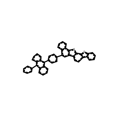 c1ccc(-c2c3ccccc3c(-c3ccc(-c4cc5c6ccc7c8ccccc8sc7c6sc5c5ccccc45)cc3)c3ccccc23)cc1